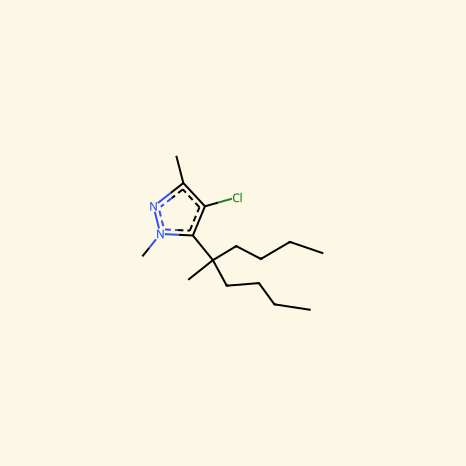 CCCCC(C)(CCCC)c1c(Cl)c(C)nn1C